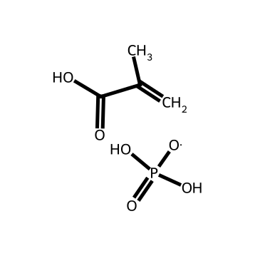 C=C(C)C(=O)O.[O]P(=O)(O)O